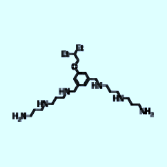 CCC(CC)COc1cc(CNCCCNCCCN)cc(CNCCCNCCCN)c1